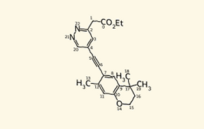 CCOC(=O)Cc1cc(C#Cc2cc3c(cc2C)OCCC3(C)C)cnn1